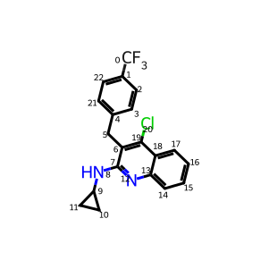 FC(F)(F)c1ccc(Cc2c(NC3CC3)nc3ccccc3c2Cl)cc1